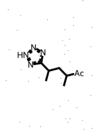 CC(=O)C(C)CC(C)c1nn[nH]n1